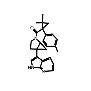 Cc1ccc(C2(C(=O)N3CCC4(c5c[nH]c6ncccc56)CC34)CC2(C)C)cc1